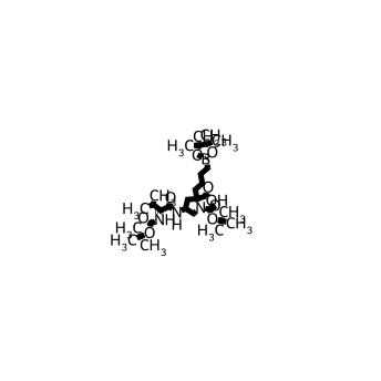 CC(C)[C@@H](NC(=O)OC(C)(C)C)C(=O)NC1CN(C(=O)OC(C)(C)C)C(CCCCB2OC(C)(C)C(C)(C)O2)(C(=O)O)C1